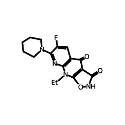 CCn1c2nc(N3CCCCC3)c(F)cc2c(=O)c2c(=O)[nH]oc21